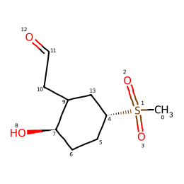 CS(=O)(=O)[C@@H]1CC[C@@H](O)C(CC=O)C1